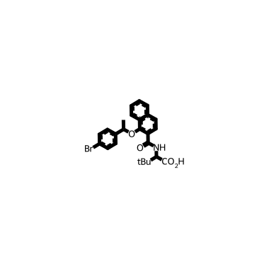 CC(Oc1c(C(=O)NC(C(=O)O)C(C)(C)C)ccc2ccccc12)c1ccc(Br)cc1